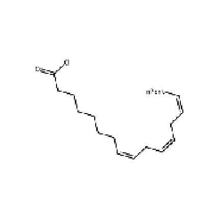 CCCCC/C=C\C/C=C\C/C=C\CCCCCCC(=O)Cl